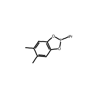 Cc1cc2c(cc1C)OP(C(C)C)O2